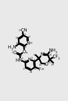 CC1(c2nc(NC(=O)Oc3ncc(C#N)cc3N)ccc2F)COC(C)(C(F)(F)F)C(N)=N1